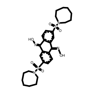 O=S(=O)(c1ccc2c(c1)/C(=N/O)c1ccc(S(=O)(=O)N3CCCCCCC3)cc1/C2=N/O)N1CCCCCCC1